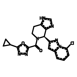 O=C(c1nnc(C2CC2)o1)N1CCc2[nH]cnc2[C@H]1c1cc2cccc(Cl)n2n1